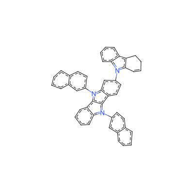 C1=Cc2c(c3ccccc3n2-c2ccc3c(c2)n(-c2ccc4ccccc4c2)c2c4ccccc4n(-c4ccc5ccccc5c4)c32)CC1